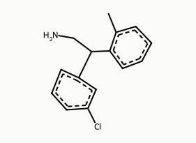 Cc1ccccc1C(CN)c1cccc(Cl)c1